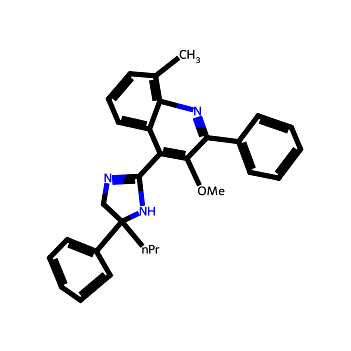 CCCC1(c2ccccc2)CN=C(c2c(OC)c(-c3ccccc3)nc3c(C)cccc23)N1